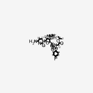 CC(C)OC(=O)[C@H](C)NP(=O)(OC[C@H]1OC(n2ccc(N)nc2=O)[C@](C)(N=[N+]=[N-])[C@@H]1O)Oc1ccc(F)cc1